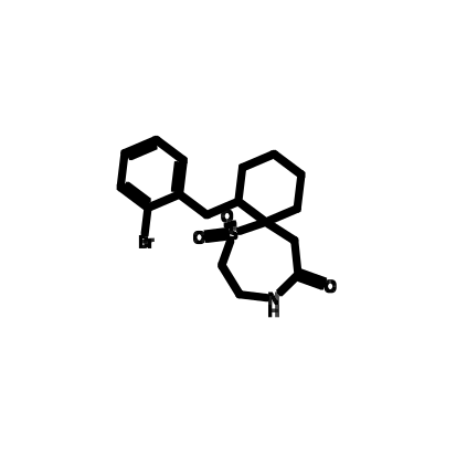 O=C1CC2(CCCCC2Cc2ccccc2Br)S(=O)(=O)CCN1